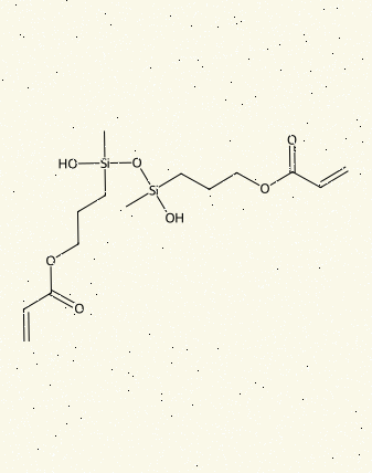 C=CC(=O)OCCC[Si](C)(O)O[Si](C)(O)CCCOC(=O)C=C